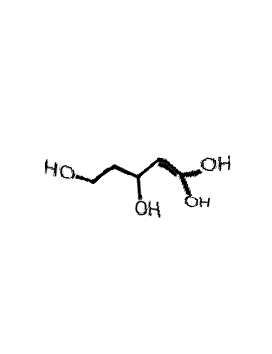 OCCC(O)C=C(O)O